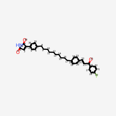 O=C1C=C(c2ccc(CCCCCCCCCCc3ccc(C=CC(=O)c4ccc(F)cc4)cc3)cc2)C(=O)N1